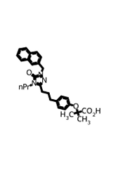 CCCn1c(CCCc2ccc(OC(C)(C)C(=O)O)cc2)nn(Cc2ccc3ccccc3c2)c1=O